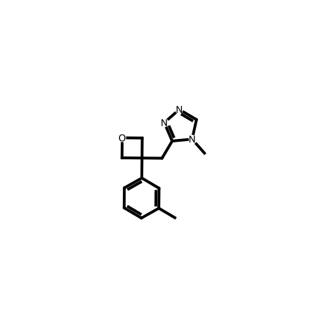 Cc1cccc(C2(Cc3nncn3C)COC2)c1